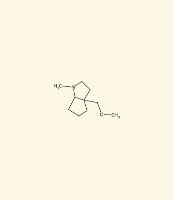 COCC12CCCC1N(C)CC2